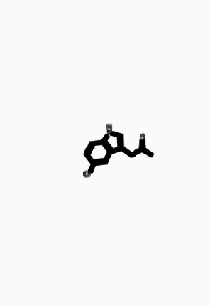 CC(=O)Cc1c[nH]c2ccc(Cl)cc12